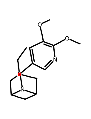 CCN1CC2CC(C1)N2Cc1cnc(OC)c(OC)c1